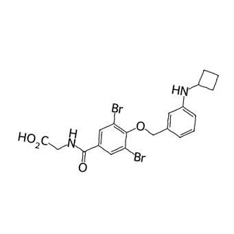 O=C(O)CNC(=O)c1cc(Br)c(OCc2cccc(NC3CCC3)c2)c(Br)c1